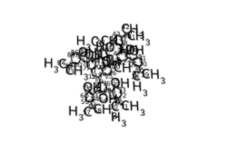 CC(C)c1ccc(O)c(-c2cc(CC(c3ccc(C(C)(C)c4cc(-c5cc(C(C)C)ccc5O)c(O)c(-c5cc(C(C)C)ccc5O)c4)cc3)c3cc(-c4cc(C(C)C)ccc4O)c(O)c(-c4cc(C(C)C)ccc4O)c3)cc(-c3cc(C(C)C)ccc3O)c2O)c1